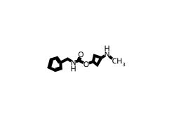 CNC1CC(OC(=O)NCc2ccccc2)C1